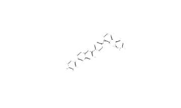 FC(F)(F)c1ccc(-c2ccc3cc(-c4ccc(-c5cccc6c5sc5ncccc56)cc4)ccc3c2)cc1